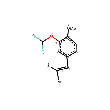 COc1ccc(/C=C(/C(C)=O)C(C)C)cc1OC(F)F